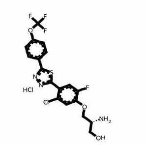 Cl.N[C@H](CO)COc1cc(Cl)c(-c2nnc(-c3ccc(OC(F)(F)F)cc3)s2)cc1F